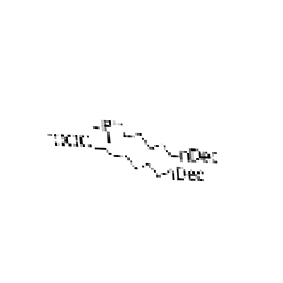 CCCCCCCCCCCCCCCCCC(=O)[O-].CCCCCCCCCCCCCCCC[P+](C)(C)C